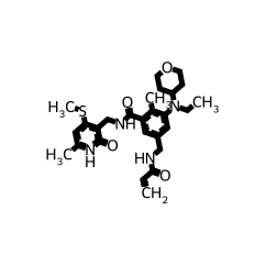 C=CC(=O)NCc1cc(C(=O)NCc2c(SC)cc(C)[nH]c2=O)c(C)c(N(CC)C2CCOCC2)c1